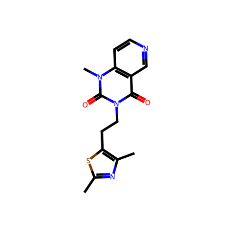 Cc1nc(C)c(CCn2c(=O)c3cnccc3n(C)c2=O)s1